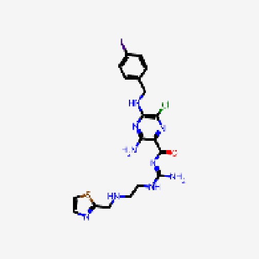 N/C(=N\C(=O)c1nc(Cl)c(NCc2ccc(I)cc2)nc1N)NCCNCc1nccs1